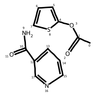 CC(=O)Oc1cccs1.NC(=O)c1cccnc1